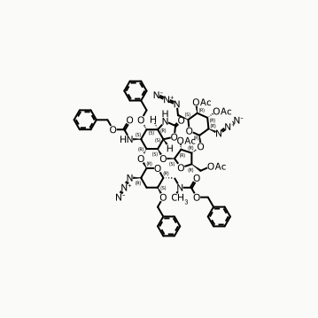 CC(=O)OC[C@H]1O[C@@H](O[C@H]2[C@H](O[C@H]3O[C@H](CN(C)C(=O)OCc4ccccc4)[C@@H](OCc4ccccc4)C[C@H]3N=[N+]=[N-])[C@@H](NC(=O)OCc3ccccc3)[C@H](OCc3ccccc3)[C@H]3NC(=O)O[C@@H]32)[C@H](OC(C)=O)[C@@H]1O[C@H]1O[C@@H](CN=[N+]=[N-])[C@@H](OC(C)=O)[C@H](OC(C)=O)[C@H]1N=[N+]=[N-]